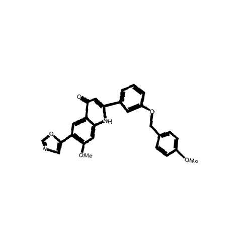 COc1ccc(COc2cccc(-c3cc(=O)c4cc(-c5cnco5)c(OC)cc4[nH]3)c2)cc1